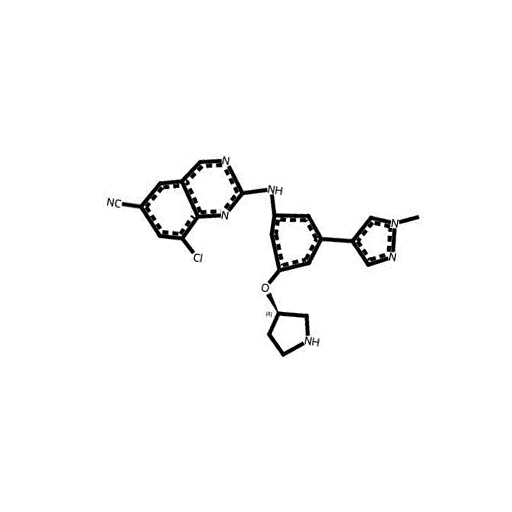 Cn1cc(-c2cc(Nc3ncc4cc(C#N)cc(Cl)c4n3)cc(O[C@@H]3CCNC3)c2)cn1